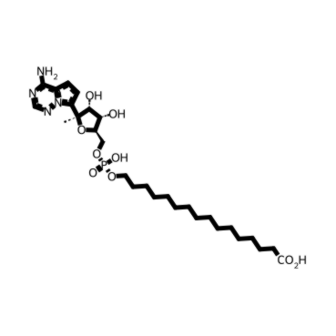 C[C@@]1(c2ccc3c(N)ncnn23)O[C@H](COP(=O)(O)OCCCCCCCCCCCCCCCC(=O)O)[C@@H](O)[C@H]1O